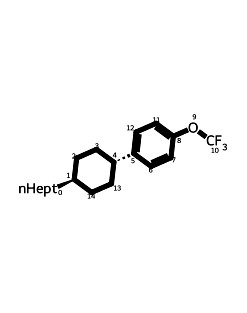 CCCCCCC[C@H]1CC[C@H](c2ccc(OC(F)(F)F)cc2)CC1